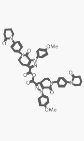 COc1ccc(-n2nc(C(=O)OC(=O)c3nn(-c4ccc(OC)cc4)c4c3CCN(c3ccc(N5CCCCC5=O)cc3)C4=O)c3c2C(=O)N(c2ccc(N4CCCCC4=O)cc2)CC3)cc1